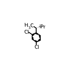 CC(C)[C@@H](C)c1ccc(Cl)cc1Cl